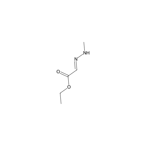 CCOC(=O)C=NNC